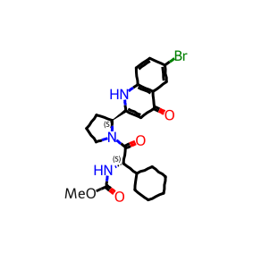 COC(=O)N[C@H](C(=O)N1CCC[C@H]1c1cc(=O)c2cc(Br)ccc2[nH]1)C1CCCCC1